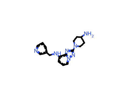 NC1CCN(c2nc3c(NCc4cccnc4)cccn3n2)CC1